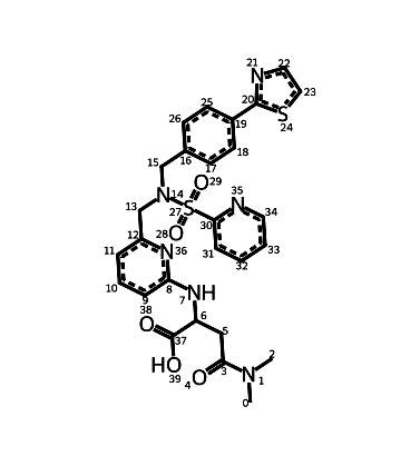 CN(C)C(=O)CC(Nc1cccc(CN(Cc2ccc(-c3nccs3)cc2)S(=O)(=O)c2ccccn2)n1)C(=O)O